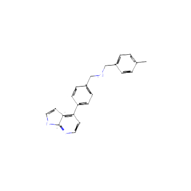 Cc1ccc(CNCc2ccc(-c3ccnc4[nH]ccc34)cc2)cc1